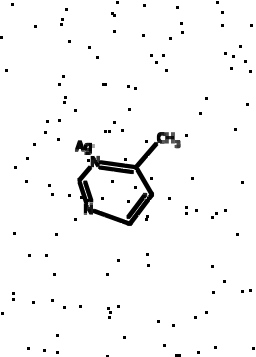 Cc1ccncn1.[Ag]